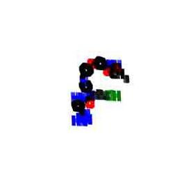 CCCCN(C(=O)Nc1cccc(-c2nn[nH]n2)c1)C1CCN(Cc2ccc(Oc3ccc(NS(C)(=O)=O)cc3)cc2)CC1.Cl